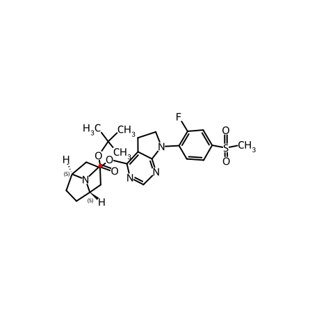 CC(C)(C)OC(=O)N1[C@H]2CC[C@H]1CC(Oc1ncnc3c1CCN3c1ccc(S(C)(=O)=O)cc1F)C2